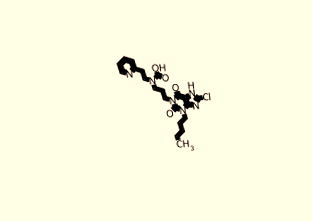 CCCCCn1c(=O)n(CCCN(CCc2ccccn2)C(=O)O)c(=O)c2[nH]c(Cl)nc21